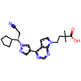 CC(C)(CCn1ccc2c(-c3cnn([C@H](CC#N)C4CCCC4)c3)ncnc21)C(=O)O